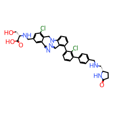 N#Cc1cc(CN[C@@H](CO)C(=O)O)cc(Cl)c1Cn1ncc2c(-c3cccc(-c4ccc(CNC[C@@H]5CCC(=O)N5)cc4)c3Cl)cccc21